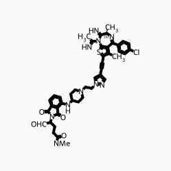 CNC(=O)CCC(C=O)N1C(=O)c2cccc(NC3CCN(CCn4cc(C#Cc5sc6c(c5C)C(c5ccc(Cl)cc5)=N[C@@H](C)C(=N)N6C(C)=N)cn4)CC3)c2C1=O